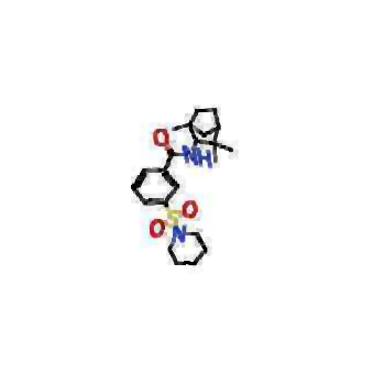 CC12CCC(C1)C(C)(C)C2NC(=O)c1cccc(S(=O)(=O)N2CCCCC2)c1